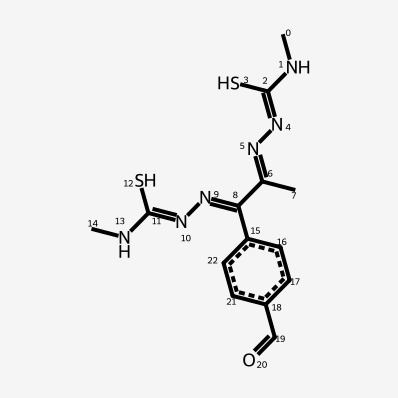 CN/C(S)=N/N=C(C)/C(=N/N=C(\S)NC)c1ccc(C=O)cc1